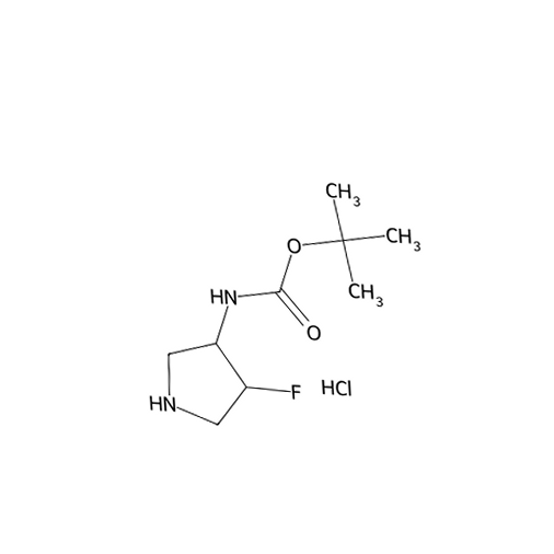 CC(C)(C)OC(=O)NC1CNCC1F.Cl